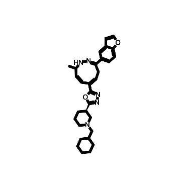 CC1/C=C\C(c2nnc([C@@H]3CCCN(CC4CCCCC4)C3)o2)=C/C/C(c2ccc3occc3c2)=N\N1